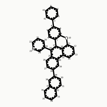 c1ccc(-c2ccc3c(c2)Oc2cccc4c2c-3c(-c2cccnc2)c2ccc(-c3ccc5ccccc5c3)cc24)cc1